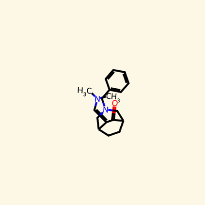 CN(C)/C=C1\C(=O)C2CCC1CN(Cc1ccccc1)C2